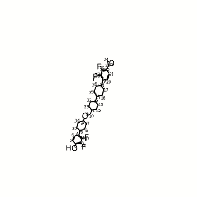 Oc1ccc(C2CCC(OCC3CCC(C4CCC(c5ccc(C6CO6)c(F)c5F)CC4)CC3)CC2)c(F)c1F